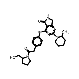 CC1CCCCN1c1nc2c(c(Nc3ccc(CC(=O)N4CCCC4CO)cc3)n1)C(=O)NC2